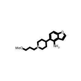 COCCCN1CCC(c2ccc3occc3c2N)CC1